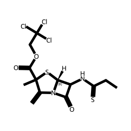 C=C1N2C(=O)C(NC(=S)CC)[C@H]2SC1(C)C(=O)OCC(Cl)(Cl)Cl